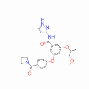 COC[C@H](C)Oc1cc(Oc2ccc(C(=O)N3CCC3)cc2)cc(C(=O)Nc2cc[nH]n2)c1